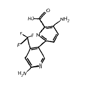 Nc1cc(C(F)(F)F)c(-c2ccc(N)c(C(=O)O)n2)cn1